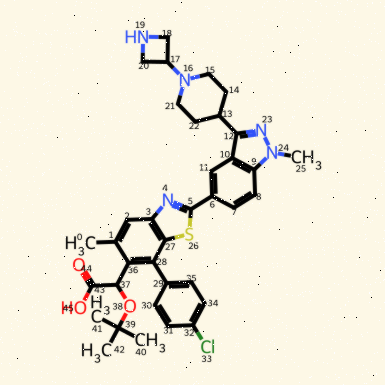 Cc1cc2nc(-c3ccc4c(c3)c(C3CCN(C5CNC5)CC3)nn4C)sc2c(-c2ccc(Cl)cc2)c1C(OC(C)(C)C)C(=O)O